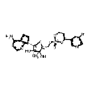 C[C@@]1(O)[C@H](O)[C@@H](CO[P@@]2(=O)OCC[C@@H](c3cncc(Br)c3)O2)O[C@H]1n1ccc2c(N)ncnc21